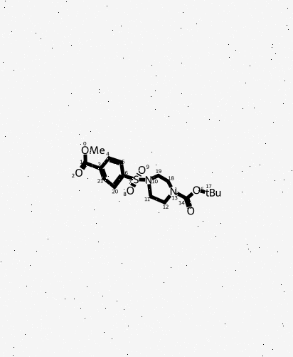 COC(=O)c1ccc(S(=O)(=O)N2CCN(C(=O)OC(C)(C)C)CC2)cc1